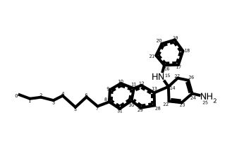 CCCCCCCCc1ccc2cc(C3(Nc4ccccc4)C=CC(N)=CC3)ccc2c1